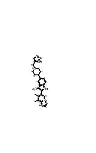 Cc1c(-c2[nH]c3ccc(C4CCN(Cc5cnn[nH]5)CC4)cc3c2C(C)C)cn2ncnc2c1C